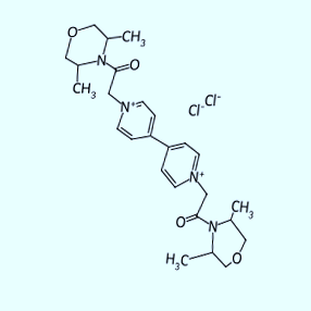 CC1COCC(C)N1C(=O)C[n+]1ccc(-c2cc[n+](CC(=O)N3C(C)COCC3C)cc2)cc1.[Cl-].[Cl-]